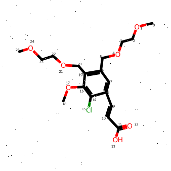 COCCOCc1cc(C=CC(=O)O)c(Cl)c(OC)c1COCCOC